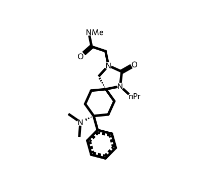 CCCN1C(=O)N(CC(=O)NC)C[C@]12CC[C@@](c1ccccc1)(N(C)C)CC2